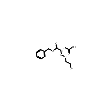 O=C(O)C[C@H](NOCCO)C(=O)OCc1ccccc1